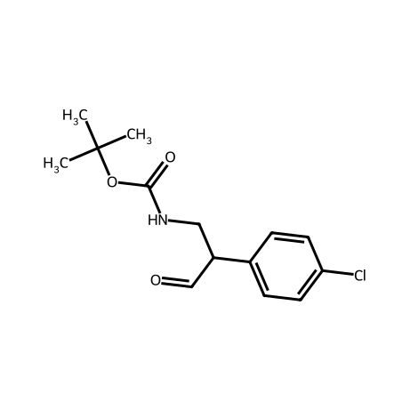 CC(C)(C)OC(=O)NCC(C=O)c1ccc(Cl)cc1